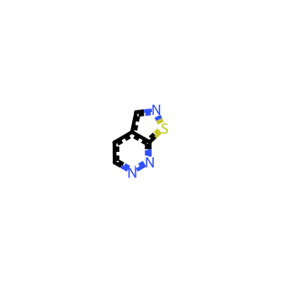 c1cc2cnsc2nn1